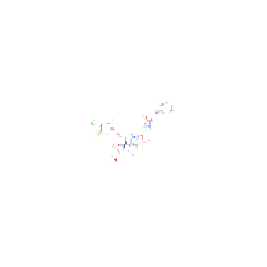 CC(C)(C)OC(=O)N1CC[C@@H]2[C@H]1[C@@H](COc1ccc(F)c(F)c1)CN2C(=O)CNC(=O)OCc1ccccc1